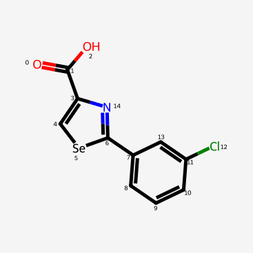 O=C(O)c1c[se]c(-c2cccc(Cl)c2)n1